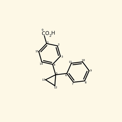 O=C(O)c1ccc(C2(c3ccccc3)CC2)cc1